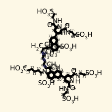 C=C(/C=C/C=C/C=C1/N(CCCCCC(=O)O)c2cc(S(=O)(=O)O)c3cc(-c4cc(C(=O)NCCS(=O)(=O)O)nc(C(=O)NCCS(=O)(=O)O)c4)ccc3c2C1(C)C)C(C)(C)c1c(C)cc(S(=O)(=O)O)c2cc(-c3cc(C(=O)NCCS(=O)(=O)O)nc(C(=O)NCCS(=O)(=O)O)c3)ccc12